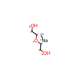 OCCOCCO.[Na][I]